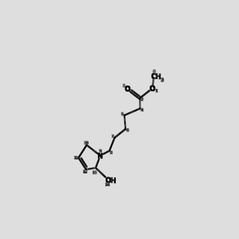 COC(=O)CCCCCN1CC=CC1O